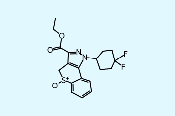 CCOC(=O)c1nn(C2CCC(F)(F)CC2)c2c1C[S+]([O-])c1ccccc1-2